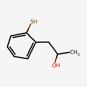 CC(O)Cc1ccccc1S